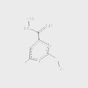 Cc1cc(C(=N)NO)nc(OC(C)C)n1